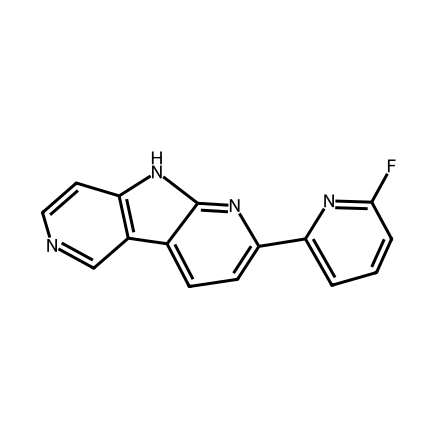 Fc1cccc(-c2ccc3c(n2)[nH]c2ccncc23)n1